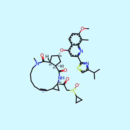 COc1ccc2c(O[C@@H]3C[C@H]4C(=O)N[C@]5(C(=O)C[S+]([O-])C6CC6)CC5/C=C\CCCCN(C)C(=O)[C@@H]4C3)cc(-c3nc(C(C)C)cs3)nc2c1C